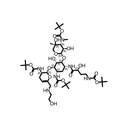 CN(C(=O)OC(C)(C)C)[C@@H]1[C@@H](O)[C@@H](O[C@@H]2[C@@H](O)[C@H](O[C@H]3OC(CNCCO)=CC[C@H]3NC(=O)OC(C)(C)C)[C@@H](NC(=O)OC(C)(C)C)C[C@H]2NC(=O)[C@@H](O)CCNC(=O)OC(C)(C)C)OC[C@]1(C)O